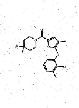 Cc1cc(C(=O)N2CCC(C)(N)CC2)oc1Sc1cccc(Cl)c1Cl